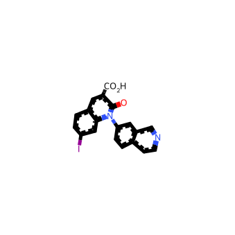 O=C(O)c1cc2ccc(I)cc2n(-c2ccc3ccncc3c2)c1=O